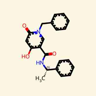 C[C@H](NC(=O)c1cn(Cc2ccccc2)c(=O)cc1O)c1ccccc1